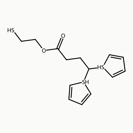 O=C(CCC([SH]1C=CC=C1)[SH]1C=CC=C1)OCCS